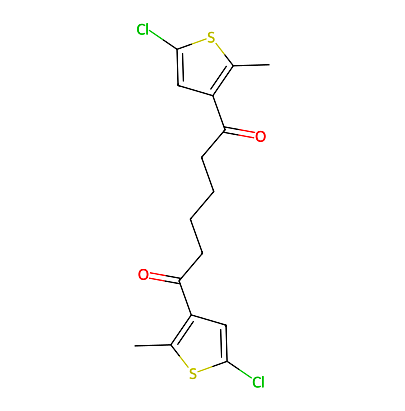 Cc1sc(Cl)cc1C(=O)CCCCC(=O)c1cc(Cl)sc1C